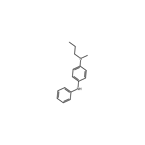 CCCN(C)c1ccc(Nc2ccccc2)cc1